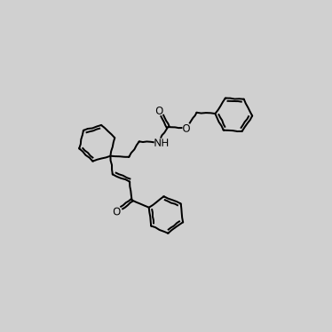 O=C(NCCC1(C=CC(=O)c2ccccc2)C=CC=CC1)OCc1ccccc1